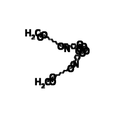 C=CC(=O)OCCCCCCCCOc1ccc(-c2ccc(C(=O)O[C@@H]3OCCO[C@H]3OC(=O)c3ccc(-c4ccc(OCCCCCCCCOC(=O)C=C)cn4)cc3)cc2)nc1